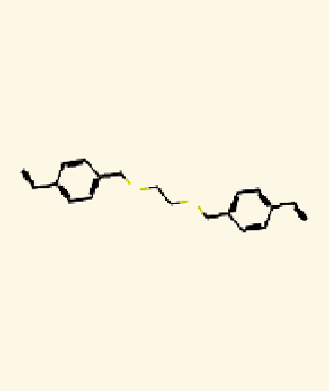 C=Cc1ccc(CSCCSCc2ccc(C=C)cc2)cc1